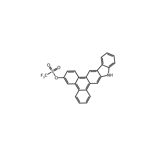 O=S(=O)(Oc1ccc2c(c1)c1ccccc1c1cc3[nH]c4ccccc4c3cc21)C(F)(F)F